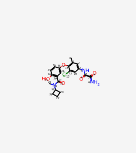 Cc1cc(NC(=O)C(N)=O)cc(Cl)c1Oc1ccc(O)c(C(=O)N(C)C2CCC2)c1